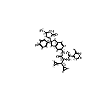 Cc1nonc1C(=O)N[C@H](C(=O)Nc1ccc2c(c1)CC(c1ccc(F)cc1)(N1C[C@@H](C(C)C)NC1=O)C2)C(C1CC1)C1CC1